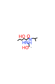 CCC[C@H](O)[C@H](NC[C@H](C)O)C(=O)NCC(C)C